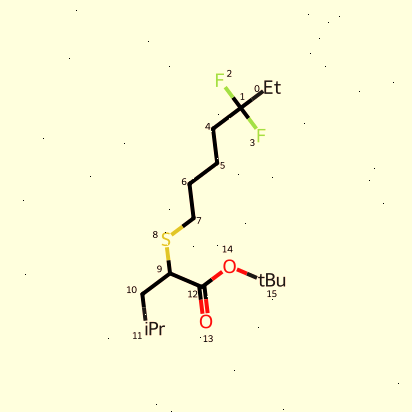 CCC(F)(F)CCCCSC(CC(C)C)C(=O)OC(C)(C)C